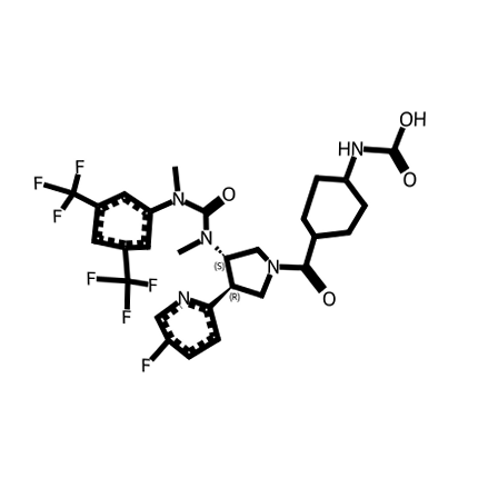 CN(C(=O)N(C)[C@@H]1CN(C(=O)C2CCC(NC(=O)O)CC2)C[C@H]1c1ccc(F)cn1)c1cc(C(F)(F)F)cc(C(F)(F)F)c1